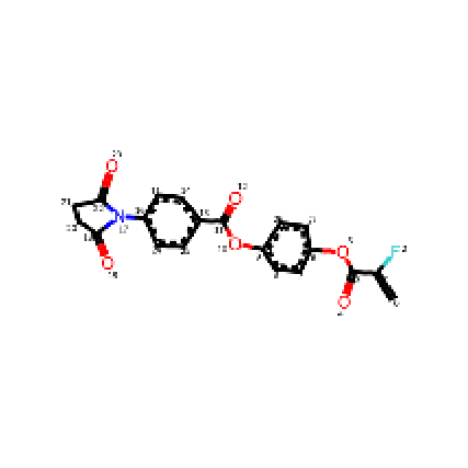 C=C(F)C(=O)Oc1ccc(OC(=O)c2ccc(N3C(=O)CCC3=O)cc2)cc1